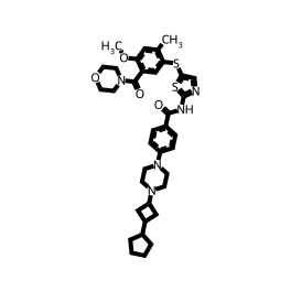 COc1cc(C)c(Sc2cnc(NC(=O)c3ccc(N4CCN(C5CC(C6CCCC6)C5)CC4)cc3)s2)cc1C(=O)N1CCOCC1